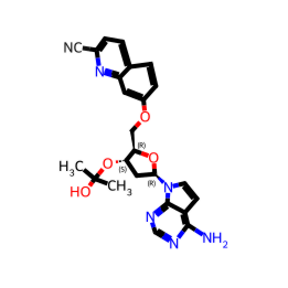 CC(C)(O)O[C@H]1C[C@H](n2ccc3c(N)ncnc32)O[C@@H]1COc1ccc2ccc(C#N)nc2c1